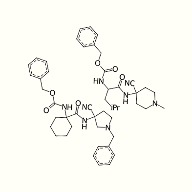 CC(C)CC(NC(=O)OCc1ccccc1)C(=O)NC1(C#N)CCN(C)CC1.N#CC1(NC(=O)C2(NC(=O)OCc3ccccc3)CCCCC2)CCN(Cc2ccccc2)C1